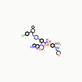 O=C(NS(=O)(=O)c1ccc(NCC2(F)CCOCC2)c([N+](=O)[O-])c1)c1ccc(N2CCN(CC3=C(c4ccc(Cl)cc4)CC4(CCC4)CC3)CC2)cc1N1CCCOc2nc3[nH]ccc3cc21